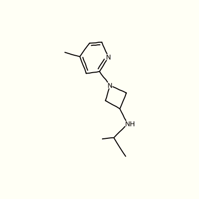 Cc1ccnc(N2CC(NC(C)C)C2)c1